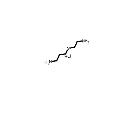 Cl.NCCCSCCN